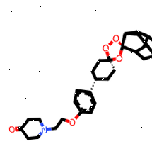 O=C1CCN(CCOc2ccc([C@H]3CC[C@]4(CC3)OO[C@]3(O4)C4CC5CC(C4)CC3C5)cc2)CC1